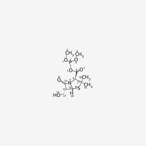 COP(OC)OC(=O)[C@@H]1N2C(=O)[C@@H](CO)[C@H]2SC1(C)C